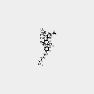 CS(=O)(=O)NC(=O)C1=C(c2ccn(C3CC3)n2)CC(c2ccc(OCCCCCC(F)(F)F)cc2)(C(F)(F)F)NC1=O